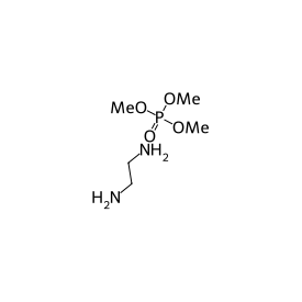 COP(=O)(OC)OC.NCCN